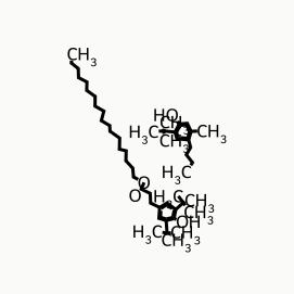 CCCCCCCCCCCCCCCCCCOC(=O)CCc1cc(C(C)(C)C)c(O)c(C(C)(C)C)c1.CCCCc1cc(C(C)(C)C)c(O)cc1C